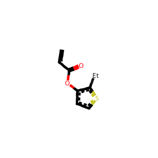 C=CC(=O)Oc1ccsc1CC